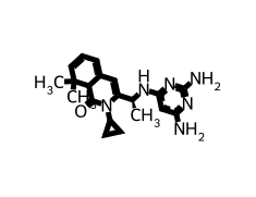 C[C@H](Nc1cc(N)nc(N)n1)C1=CC2=CC=CC(C)(C)C2C(=O)N1C1CC1